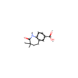 CN1C(=O)C(C)(C)CCc2cc(C(=O)O)ccc21